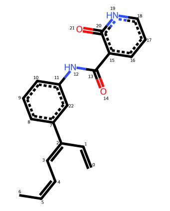 C=C/C(=C\C=C/C)c1cccc(NC(=O)c2ccc[nH]c2=O)c1